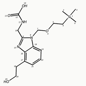 C[Si](C)(C)CCOCn1c(CNC(=O)O)nc2c(CCO)cccc21